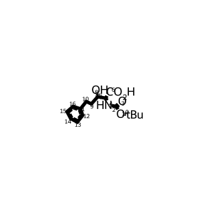 CC(C)(C)OC(=O)NC(C(=O)O)[C@@H](O)CCc1ccccc1